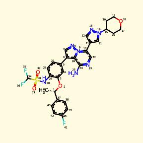 C[C@H](Oc1cc(-c2cnn3c(-c4cnn(C5CCOCC5)c4)cnc(N)c23)ccc1NS(=O)(=O)C(F)F)c1ccc(F)cc1